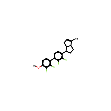 CCCC1=CCC2C1CCC2c1ccc(-c2ccc(OCC)c(F)c2F)c(F)c1F